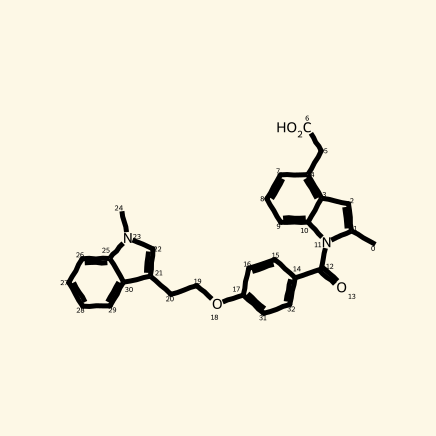 Cc1cc2c(CC(=O)O)cccc2n1C(=O)c1ccc(OCCc2cn(C)c3ccccc23)cc1